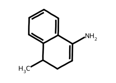 CC1CC=C(N)c2ccccc21